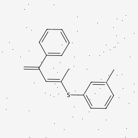 C=C(/C=C(\C)Sc1cccc(C)c1)c1ccccc1